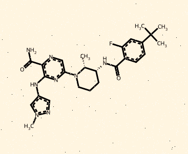 C[C@@H]1[C@H](NC(=O)c2ccc(C(C)(C)C)cc2F)CCCN1c1cnc(C(N)=O)c(Nc2cnn(C)c2)n1